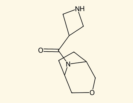 O=C(C1CNC1)N1C2CCC1COC2